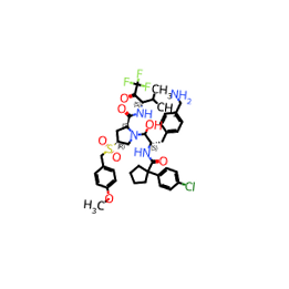 COc1ccc(CS(=O)(=O)[C@@H]2C[C@@H](C(=O)N[C@H](C(=O)C(F)(F)F)C(C)C)N(C(O)[C@H](Cc3ccc(CN)cc3)NC(=O)C3(c4ccc(Cl)cc4)CCCC3)C2)cc1